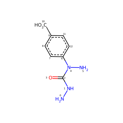 NNC(=O)N(N)c1ccc(C(=O)O)cc1